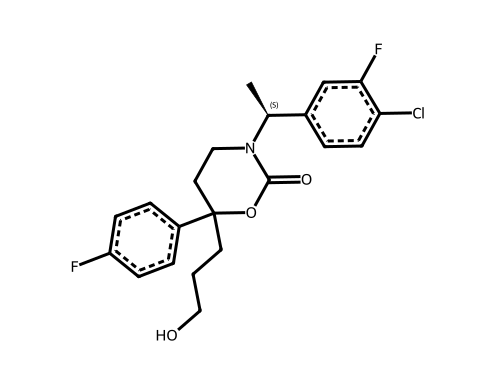 C[C@@H](c1ccc(Cl)c(F)c1)N1CCC(CCCO)(c2ccc(F)cc2)OC1=O